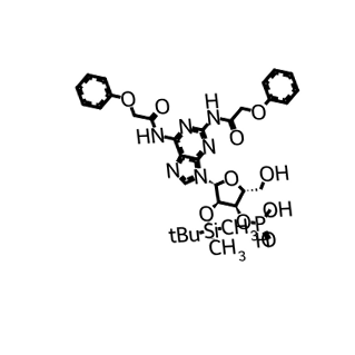 CC(C)(C)[Si](C)(C)O[C@@H]1[C@H](O[PH](=O)O)[C@@H](CO)O[C@H]1n1cnc2c(NC(=O)COc3ccccc3)nc(NC(=O)COc3ccccc3)nc21